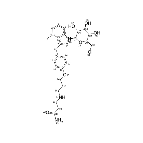 Cc1cccc2c1c(Cc1ccc(OCCCNCCC(N)=O)cc1)cn2[C@@H]1O[C@H](CO)[C@@H](O)[C@H](O)[C@H]1O